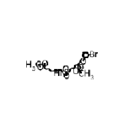 COC(=O)CCCC#CCNS(=O)(=O)CCCCC(COc1cccc(Br)c1)OC(C)=O